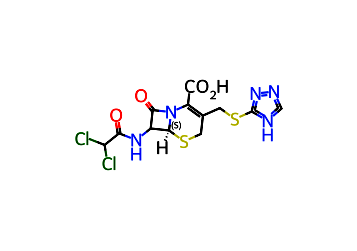 O=C(O)C1=C(CSc2nnc[nH]2)CS[C@H]2C(NC(=O)C(Cl)Cl)C(=O)N12